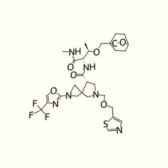 CNC(=O)[C@@H](NC(=O)[C@@H]1CN(COCc2cncs2)CC12CN(c1nc(C(F)(F)F)co1)C2)[C@@H](C)OCC12CCC(CC1)OC2